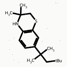 CC(C)(C)CC(C)(C)c1ccc2c(c1)SCC(C)(C)N2